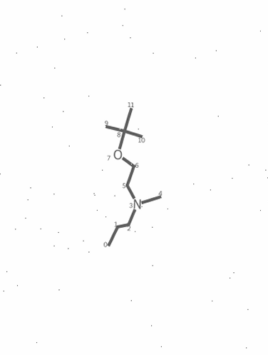 CCCN(C)CCOC(C)(C)C